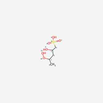 CC(CC(O)CS(=O)(=O)O)OO